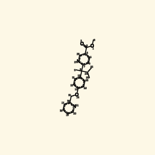 COC(=O)c1ccc(C(C)(c2ccc(OCc3ccccn3)cc2)C(C)C)nc1